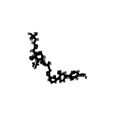 C[C@@H](COc1cccc(N2CCN(c3ncc(C(F)(F)F)cn3)CC2=O)n1)Nc1cnn(COCC[Si](C)(C)C)c(=O)c1C(F)(F)F